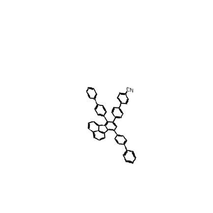 N#Cc1ccc(-c2ccc(-c3cc(-c4ccc(-c5ccccc5)cc4)c4c(c3-c3ccc(-c5ccccc5)cc3)-c3cccc5cccc-4c35)cc2)cc1